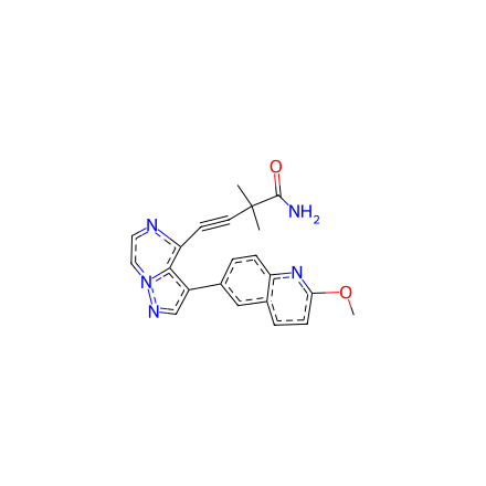 COc1ccc2cc(-c3cnn4ccnc(C#CC(C)(C)C(N)=O)c34)ccc2n1